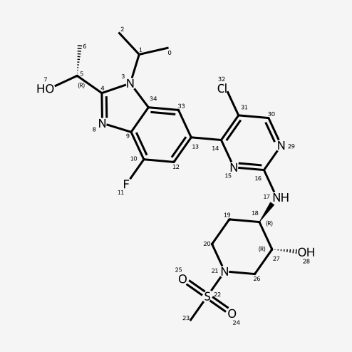 CC(C)n1c([C@@H](C)O)nc2c(F)cc(-c3nc(N[C@@H]4CCN(S(C)(=O)=O)C[C@H]4O)ncc3Cl)cc21